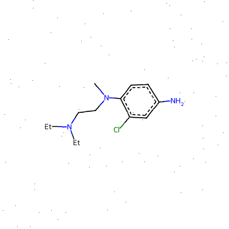 CCN(CC)CCN(C)c1ccc(N)cc1Cl